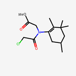 COC(=O)CN(C(=O)CCl)C1=C(C)C(C)(C)CC(C)C1